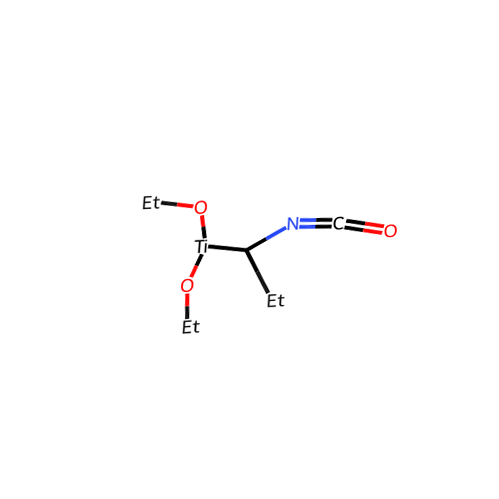 CC[O][Ti]([O]CC)[CH](CC)N=C=O